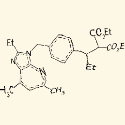 CCOC(=O)C(C(=O)OCC)C(CC)c1ccc(Cn2c(CC)nc3c(C)cc(C)nc32)cc1